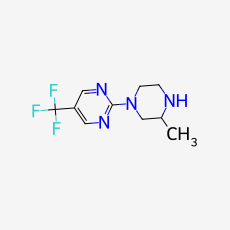 CC1CN(c2ncc(C(F)(F)F)cn2)CCN1